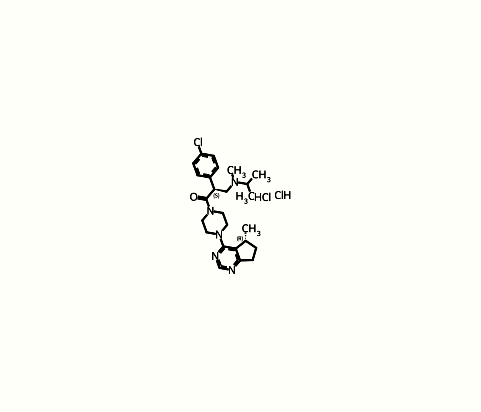 CC(C)N(C)C[C@@H](C(=O)N1CCN(c2ncnc3c2[C@H](C)CC3)CC1)c1ccc(Cl)cc1.Cl.Cl